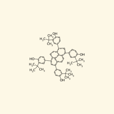 CC(C)(C)c1cc(-c2cc(-c3ccc(O)c(C(C)(C)C)c3)c3ccc4c(-c5ccc(O)c(C(C)(C)C)c5)cc(-c5ccc(O)c(C(C)(C)C)c5)c5ccc2c3c54)ccc1O